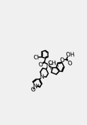 C[N+](C(=O)c1ccccc1Cl)(C1CCN(c2cc[n+]([O-])cc2)CC1)[C@@H]1CCc2ccc(OC(=O)O)cc21